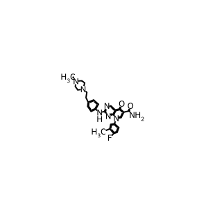 Cc1cc(-n2cc(C(N)=O)c(=O)c3cnc(Nc4ccc(CCN5CCN(C)CC5)cc4)nc32)ccc1F